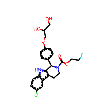 O=C(OCCF)N1CCc2c([nH]c3ccc(Cl)cc23)C1c1ccc(OCC(O)CO)cc1